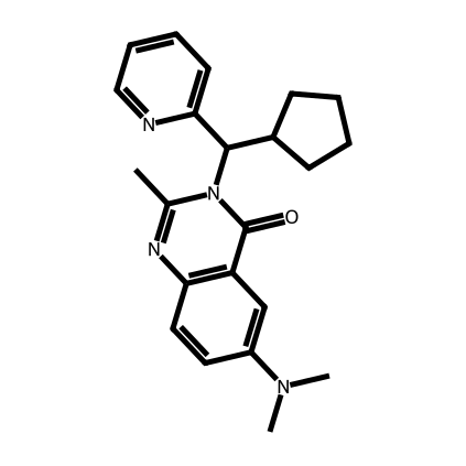 Cc1nc2ccc(N(C)C)cc2c(=O)n1C(c1ccccn1)C1CCCC1